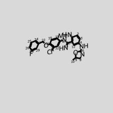 CNc1ccc(NC2=NCC(C)O2)cc1C(=N)Nc1ccc(OCc2cccc(F)c2)c(Cl)c1